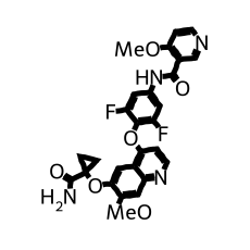 COc1cc2nccc(Oc3c(F)cc(NC(=O)c4cnccc4OC)cc3F)c2cc1OC1(C(N)=O)CC1